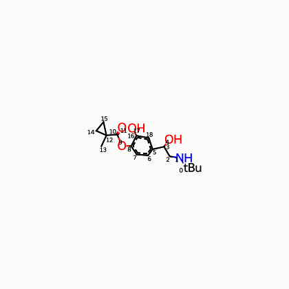 CC(C)(C)NCC(O)c1ccc(OC(=O)C2(C)CC2)c(O)c1